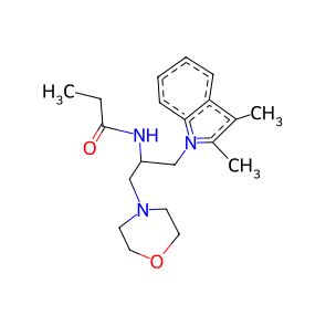 CCC(=O)NC(CN1CCOCC1)Cn1c(C)c(C)c2ccccc21